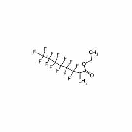 C=C(C(=O)OCC)C(F)(F)C(F)(F)C(F)(F)C(F)(F)C(F)(F)C(F)(F)F